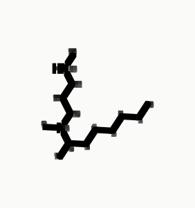 CCCCCCC(C)N(C)CCCNC